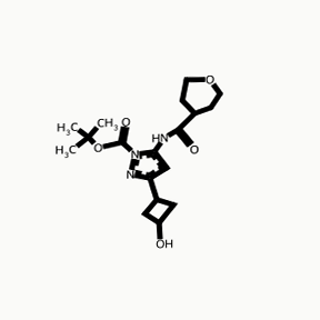 CC(C)(C)OC(=O)n1nc(C2CC(O)C2)cc1NC(=O)C1CCOCC1